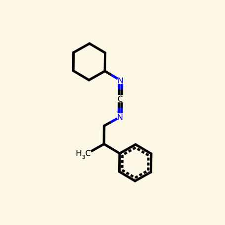 CC(CN=C=NC1CCCCC1)c1ccccc1